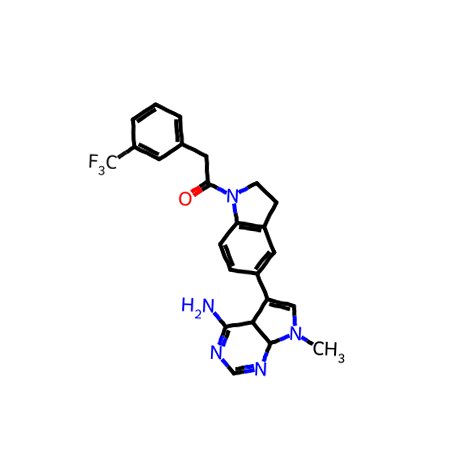 CN1C=C(c2ccc3c(c2)CCN3C(=O)Cc2cccc(C(F)(F)F)c2)C2C(N)=NC=NC21